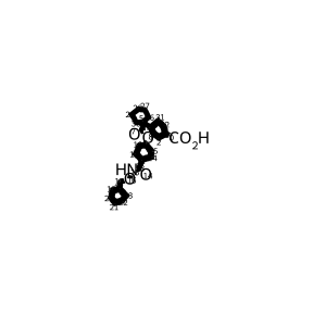 O=C(O)c1ccc(C2(C(=O)Oc3ccc(C(=O)NOCc4ccccc4)cc3)CCCCC2)cc1